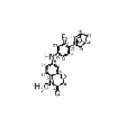 CN1C(=O)COc2cc(Nc3ccc(N4CC5CC(C4)O5)c(F)c3)ccc21